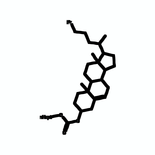 CCCCCCCOC(=O)OC1CCC2(C)C(=CCC3C2CCC2(C)C(C(C)CCCC(C)C)CCC32)C1